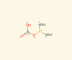 CCCCCCCCP(CCCCCCCC)[O][Ti](=[O])[OH]